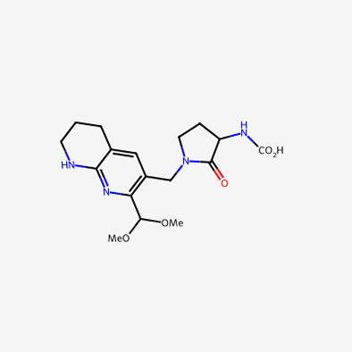 COC(OC)c1nc2c(cc1CN1CCC(NC(=O)O)C1=O)CCCN2